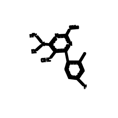 CCCN(CC)c1nc(SC)nc(-c2ccc(F)cc2C)c1C=O